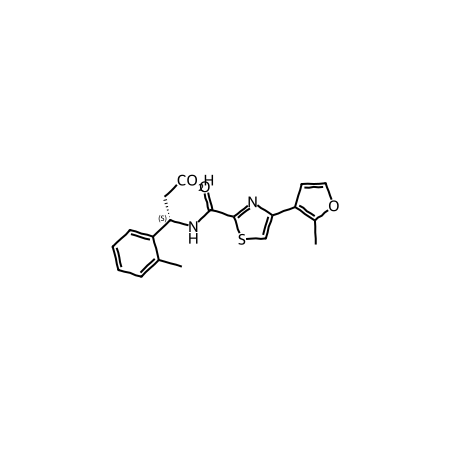 Cc1ccccc1[C@H](CC(=O)O)NC(=O)c1nc(-c2ccoc2C)cs1